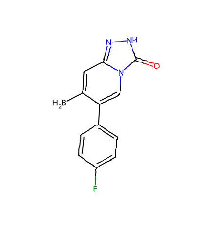 Bc1cc2n[nH]c(=O)n2cc1-c1ccc(F)cc1